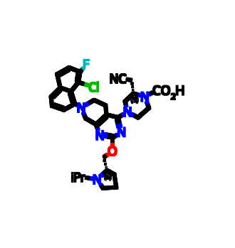 CC(C)N1CCC[C@H]1COc1nc2c(c(N3CCN(C(=O)O)[C@@H](CC#N)C3)n1)CCN(c1cccc3ccc(F)c(Cl)c13)C2